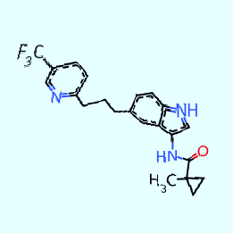 CC1(C(=O)Nc2c[nH]c3ccc(CCCc4ccc(C(F)(F)F)cn4)cc23)CC1